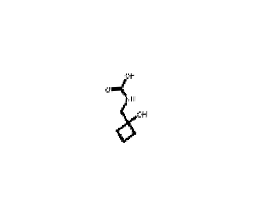 O=C(O)NCC1(O)CCC1